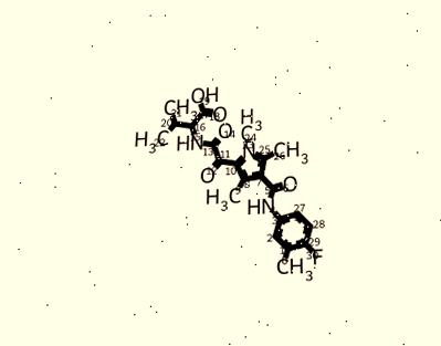 Cc1cc(NC(=O)c2c(C)c(C(=O)C(=O)NC(C(=O)O)C(C)C)n(C)c2C)ccc1F